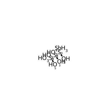 O=S(=O)(O)O.O=S(=O)(O)O.O=S(=O)(O)O.[SbH3]